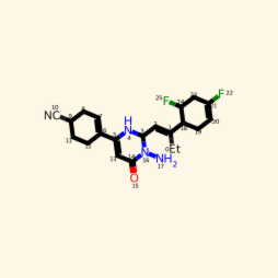 CC/C(=C\C1NC(C2=CCC(C#N)CC2)=CC(=O)N1N)C1CC=C(F)CC1F